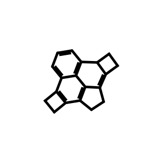 c1cc2c3c4c(c5c(c3c1)CC5)CCC4=C1CCC12